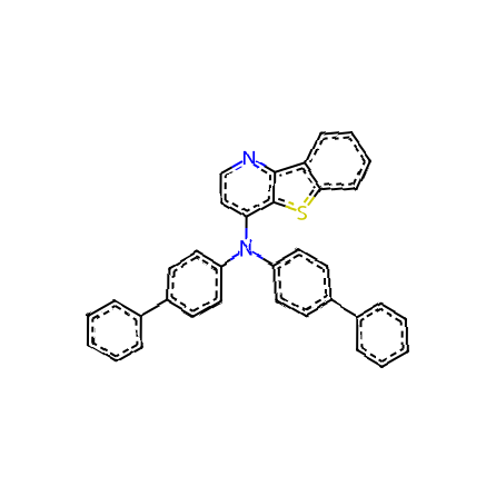 c1ccc(-c2ccc(N(c3ccc(-c4ccccc4)cc3)c3ccnc4c3sc3ccccc34)cc2)cc1